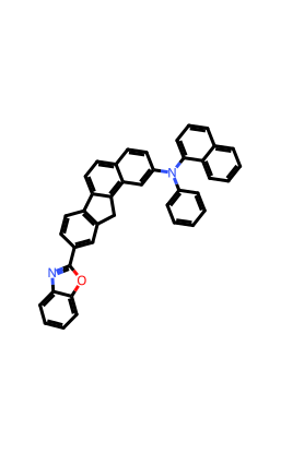 c1ccc(N(c2ccc3ccc4c(c3c2)Cc2cc(-c3nc5ccccc5o3)ccc2-4)c2cccc3ccccc23)cc1